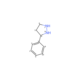 c1ccc(C2CCNN2)cc1